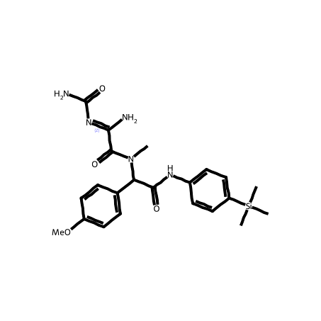 COc1ccc(C(C(=O)Nc2ccc([Si](C)(C)C)cc2)N(C)C(=O)/C(N)=N/C(N)=O)cc1